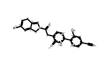 N#Cc1cnc(-c2ncc(CC(=O)N3C=C4CC=C(Br)C=C4C3)c(=O)[nH]2)c(O)c1